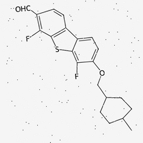 CC1CCC(COc2ccc3c(sc4c(F)c(C=O)ccc43)c2F)CC1